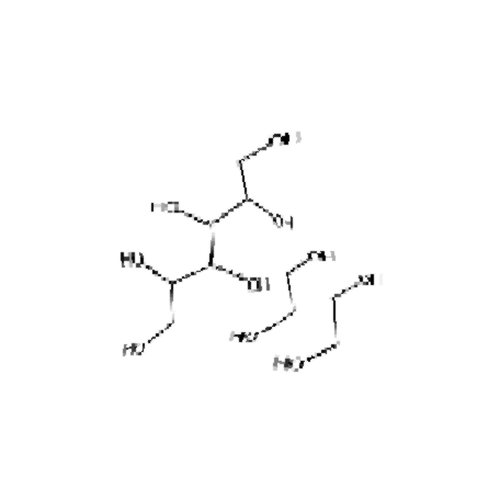 OCC(O)C(O)C(O)C(O)CO.OCCO.OCCO